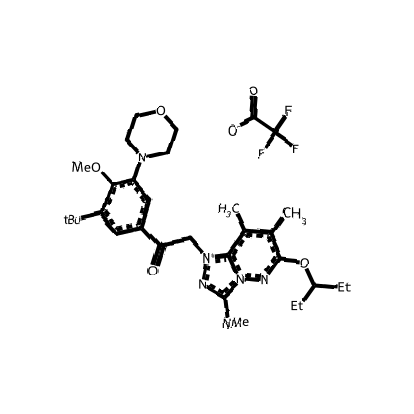 CCC(CC)Oc1nn2c(NC)n[n+](CC(=O)c3cc(N4CCOCC4)c(OC)c(C(C)(C)C)c3)c2c(C)c1C.O=C([O-])C(F)(F)F